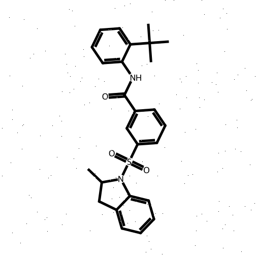 CC1Cc2ccccc2N1S(=O)(=O)c1cccc(C(=O)Nc2ccccc2C(C)(C)C)c1